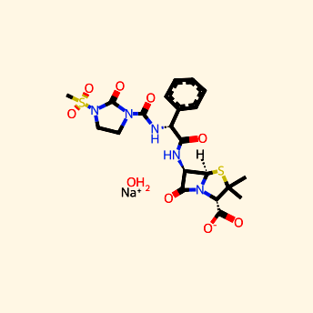 CC1(C)S[C@@H]2[C@H](NC(=O)[C@H](NC(=O)N3CCN(S(C)(=O)=O)C3=O)c3ccccc3)C(=O)N2[C@H]1C(=O)[O-].O.[Na+]